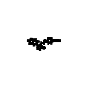 COc1ccc(OCCN2C(=O)CSC2c2ccc3c(c2)CCO3)cc1